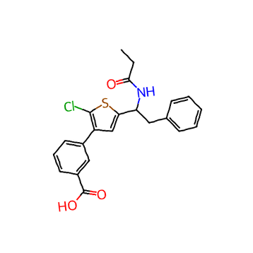 CCC(=O)NC(Cc1ccccc1)c1cc(-c2cccc(C(=O)O)c2)c(Cl)s1